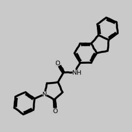 O=C(Nc1ccc2c(c1)Cc1ccccc1-2)C1CC(=O)N(c2ccccc2)C1